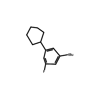 CC(C)(C)c1cc(F)cc(C2CCCCC2)c1